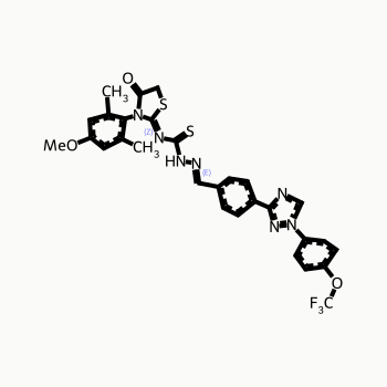 COc1cc(C)c(N2C(=O)CS/C2=N\C(=S)N/N=C/c2ccc(-c3ncn(-c4ccc(OC(F)(F)F)cc4)n3)cc2)c(C)c1